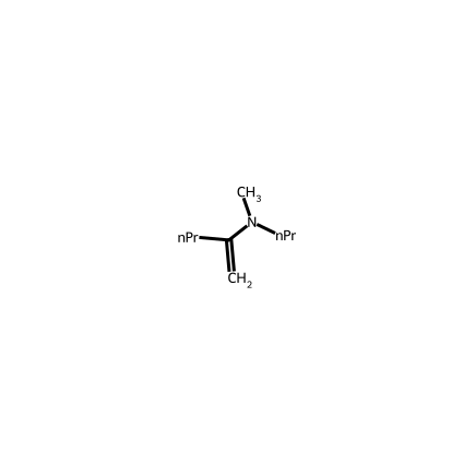 C=C(CCC)N(C)CCC